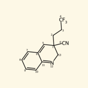 N#CC1(CCC(F)(F)F)C=c2ccccc2=NC1